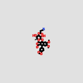 COc1cc2c(OC3O[C@H](C)[C@@H](O)[C@H](OC(=O)CC#N)[C@H]3O)c3c(c(-c4ccc5c(c4)OCO5)c2cc1OC)C(=O)OC3